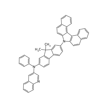 CC1(C)c2cc(N(c3ccccc3)c3cnc4ccccc4c3)ccc2-c2ccc(-n3c4ccc5ccccc5c4c4c5ccccc5ccc43)cc21